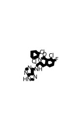 C[C@@H](Nc1ncnc2[nH]cnc12)c1cc2ccc(F)c(Cl)c2c(=O)n1-c1c(Cl)cccc1Cl